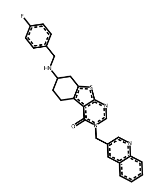 O=c1c2c3c(sc2ncn1Cc1cnc2ccccc2c1)CC(NCc1ccc(F)cc1)CC3